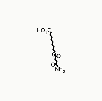 NCC(=O)CCC(=O)OCCCCCCCCCC(=O)O